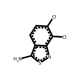 Nc1snc2c(Cl)c(Cl)ccc12